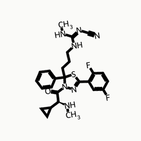 CN/C(=N/C#N)NCCCC1(c2ccccc2)SC(c2cc(F)ccc2F)=NN1C(=O)[C@@H](NC)C1CC1